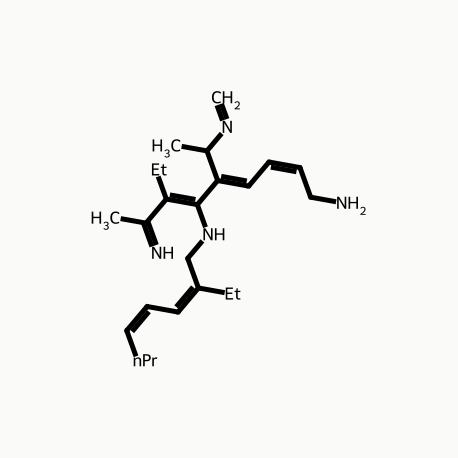 C=NC(C)C(=C\C=C/CN)/C(NC/C(=C\C=C/CCC)CC)=C(\CC)C(C)=N